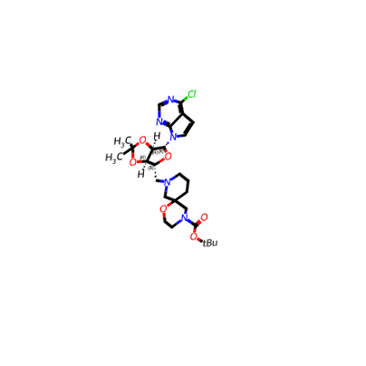 CC(C)(C)OC(=O)N1CCOC2(CCCN(C[C@H]3O[C@@H](n4ccc5c(Cl)ncnc54)[C@@H]4OC(C)(C)O[C@@H]43)C2)C1